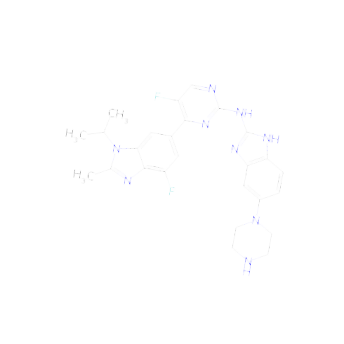 Cc1nc2c(F)cc(-c3nc(Nc4nc5cc(N6CCNCC6)ccc5[nH]4)ncc3F)cc2n1C(C)C